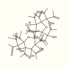 CC(=O)C1(OC2(C(O)(C(C)=O)C(C)=O)OC(C(C)=O)(C(O)(C(C)=O)C(C)=O)C(O)(C(C)=O)C2(O)C(C)=O)OC(C(C)=O)(C(O)(C(C)=O)C(C)=O)C(O)(C(C)=O)C(O)(C(C)=O)C1(O)C(C)=O